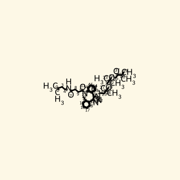 CC(C)CCNC(=O)CCC(=O)N1Cc2ccccc2-c2nnn(CCC(C)(C)OCC(C)(C)OCC(=O)C(C)C)c2-c2ccccc21